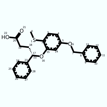 CSc1ccc(OCc2ccccc2)cc1O[C@@H](CCC(=O)O)c1ccccc1